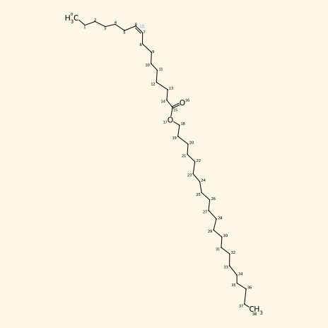 CCCCCC/C=C\CCCCCCCC(=O)OCCCCCCCCCCCCCCCCCCCCC